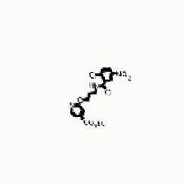 CCOC(=O)c1ccnc(OCCCNC(=O)c2cc([N+](=O)[O-])ccc2Cl)c1